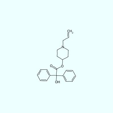 C=CCN1CCC(OC(=O)C(O)(c2ccccc2)c2ccccc2)CC1